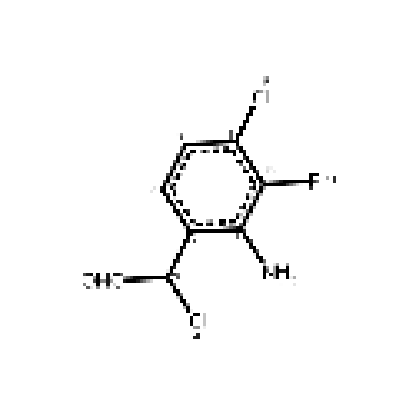 Nc1c(C(Cl)C=O)ccc(Cl)c1F